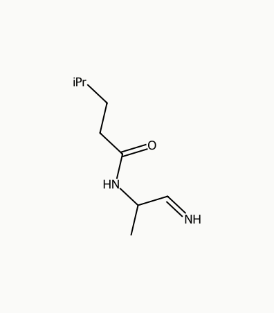 CC(C)CCC(=O)NC(C)C=N